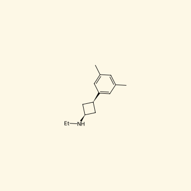 CCN[C@H]1C[C@@H](c2cc(C)cc(C)c2)C1